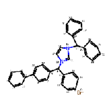 [Br-].c1ccc(-c2ccc(C(c3ccccc3)[n+]3ccn(C(c4ccccc4)c4ccccc4)c3)cc2)cc1